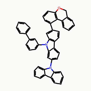 c1ccc(-c2cccc(-n3c4cc(-c5cccc6c5-c5ccccc5CO6)ccc4c4ccc(-n5c6ccccc6c6ccccc65)cc43)c2)cc1